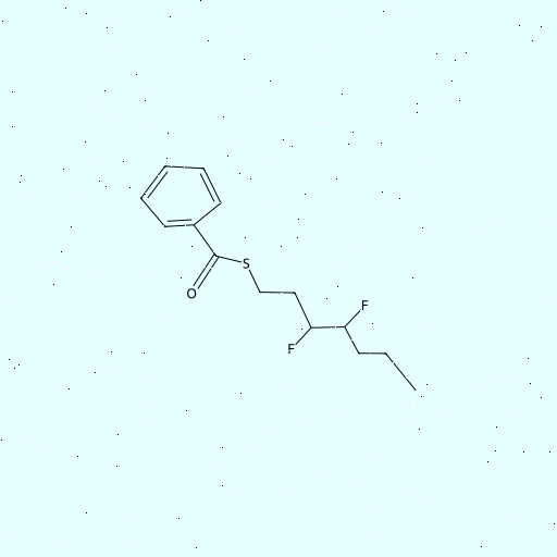 CCCC(F)C(F)CCSC(=O)c1ccccc1